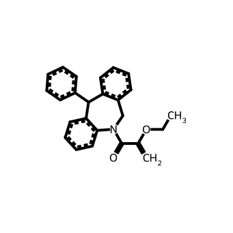 C=C(OCC)C(=O)N1Cc2ccccc2C(c2ccccc2)c2ccccc21